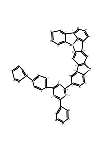 c1ccc(-c2ccc(-c3nc(-c4ccccc4)nc(-c4ccc5oc6cc7c8cccc9c%10ccccc%10n(c7cc6c5c4)c98)n3)cc2)cc1